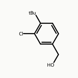 CC(C)(C)c1ccc(CO)cc1Cl